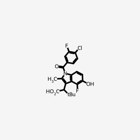 Cc1c(C(C(=O)O)C(C)(C)C)c2c(F)c(O)ccc2n1C(=O)c1ccc(Cl)c(F)c1